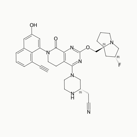 C#Cc1cccc2cc(O)cc(N3CCc4c(nc(OC[C@@]56CCCN5C[C@H](F)C6)nc4N4CCN[C@@H](CC#N)C4)C3=O)c12